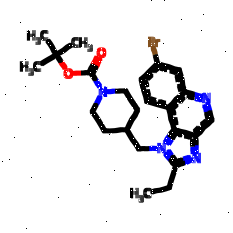 CCc1nc2cnc3cc(Br)ccc3c2n1CC1CCN(C(=O)OC(C)(C)C)CC1